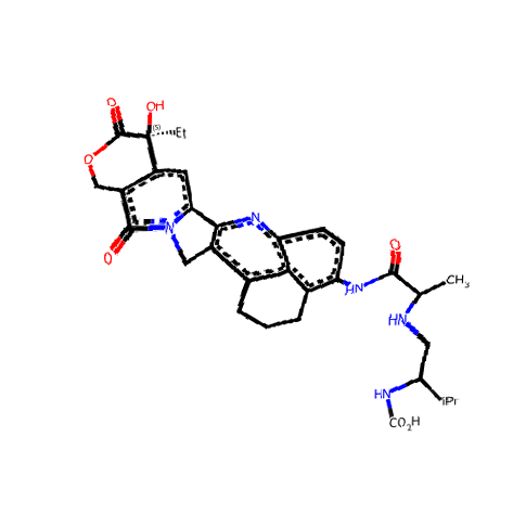 CC[C@@]1(O)C(=O)OCc2c1cc1n(c2=O)Cc2c-1nc1ccc(NC(=O)C(C)NCC(NC(=O)O)C(C)C)c3c1c2CCC3